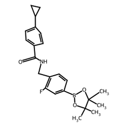 CC1(C)OB(c2ccc(CNC(=O)c3ccc(C4CC4)cc3)c(F)c2)OC1(C)C